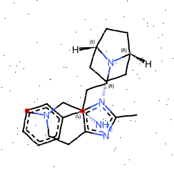 Cc1nc2c(n1[C@H]1C[C@H]3CC[C@@H](C1)N3CC[C@H](N)c1ccccc1)CN(C)CC2